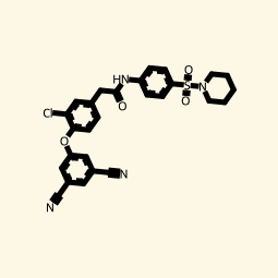 N#Cc1cc(C#N)cc(Oc2ccc(CC(=O)Nc3ccc(S(=O)(=O)N4CCCCC4)cc3)cc2Cl)c1